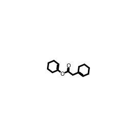 O=C(CC1=CCCCC1)OC1=CCCCC1